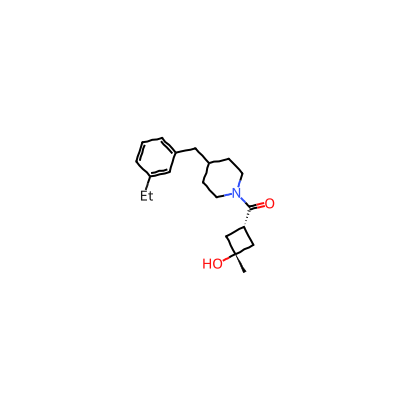 CCc1cccc(CC2CCN(C(=O)[C@H]3C[C@@](C)(O)C3)CC2)c1